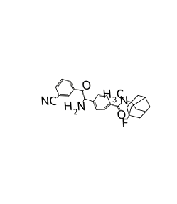 CN(C(=O)c1ccc(C(N)C(=O)c2cccc(C#N)c2)cc1)C12CC3CC(CC(F)(C3)C1)C2